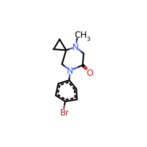 CN1CC(=O)N(c2ccc(Br)cc2)CC12CC2